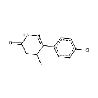 CC1CC(=O)NN=C1c1ccc(Cl)cc1